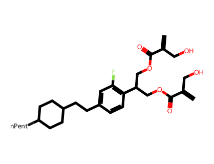 C=C(CO)C(=O)OCC(COC(=O)C(=C)CO)c1ccc(CCC2CCC(CCCCC)CC2)cc1F